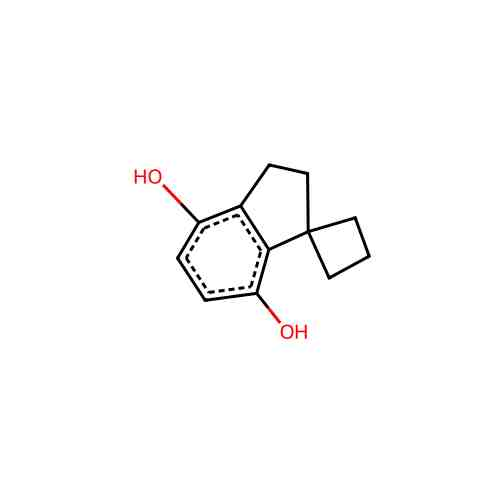 Oc1ccc(O)c2c1CCC21CCC1